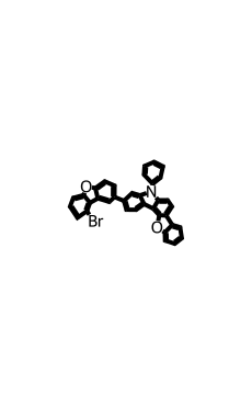 Brc1cccc2oc3ccc(-c4ccc5c6c7oc8ccccc8c7ccc6n(-c6ccccc6)c5c4)cc3c12